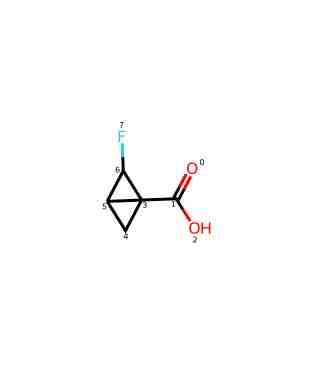 O=C(O)C12CC1C2F